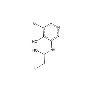 Oc1c(Br)cncc1NC(O)CCl